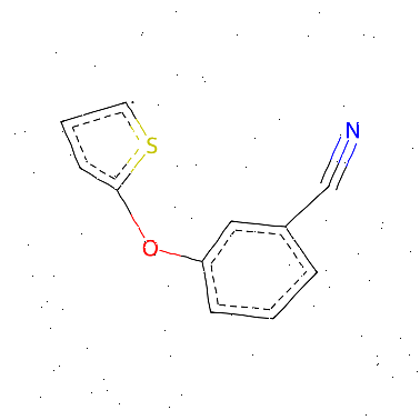 N#Cc1cccc(Oc2cc[c]s2)c1